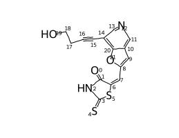 O=C1NC(=S)SC1=Cc1cc2cncc(C#CCCO)c2o1